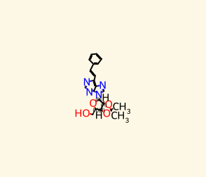 CC1(C)O[C@@H]2[C@H](O1)[C@@H](CO)O[C@H]2n1cnc2c(C=Cc3ccccc3)ncnc21